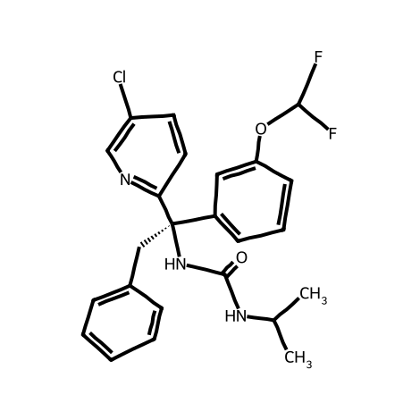 CC(C)NC(=O)N[C@](Cc1ccccc1)(c1cccc(OC(F)F)c1)c1ccc(Cl)cn1